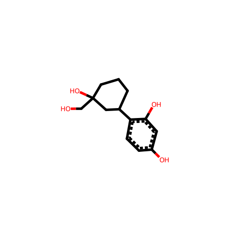 OCC1(O)CCCC(c2ccc(O)cc2O)C1